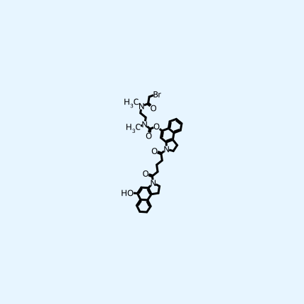 CN(CCN(C)C(=O)Oc1cc2c(c3ccccc13)CCN2C(=O)CCCC(=O)N1CCc2c1cc(O)c1c2=CCCC=1)C(=O)CBr